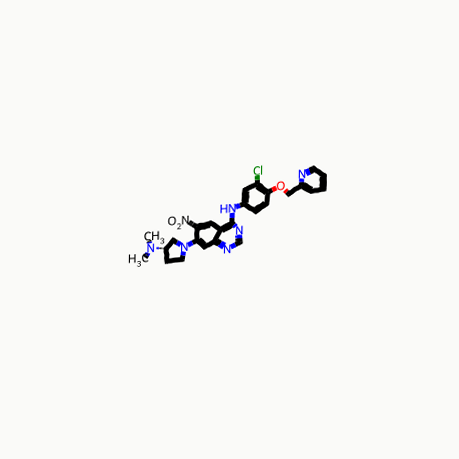 CN(C)[C@H]1CCN(c2cc3ncnc(Nc4ccc(OCc5ccccn5)c(Cl)c4)c3cc2[N+](=O)[O-])C1